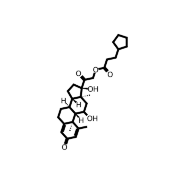 CC1=CC(=O)C=C2CC[C@@H]3[C@H](C(O)C[C@@]4(C)[C@H]3CC[C@]4(O)C(=O)COC(=O)CCC3CCCC3)[C@@]12C